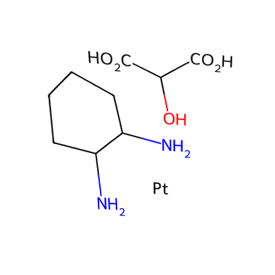 NC1CCCCC1N.O=C(O)C(O)C(=O)O.[Pt]